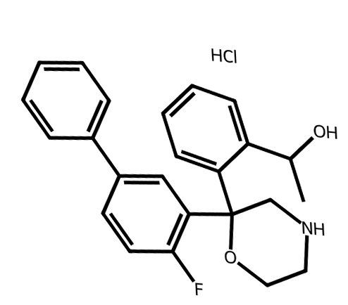 CC(O)c1ccccc1C1(c2cc(-c3ccccc3)ccc2F)CNCCO1.Cl